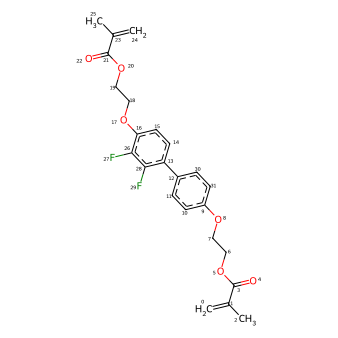 C=C(C)C(=O)OCCOc1ccc(-c2ccc(OCCOC(=O)C(=C)C)c(F)c2F)cc1